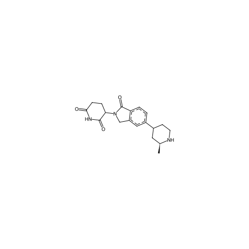 C[C@H]1CC(c2ccc3c(c2)CN(C2CCC(=O)NC2=O)C3=O)CCN1